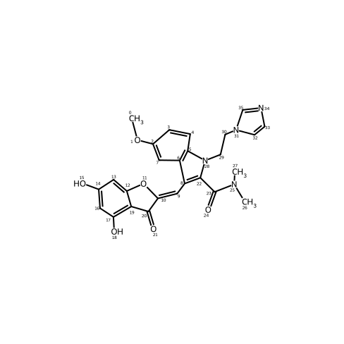 COc1ccc2c(c1)c(/C=C1\Oc3cc(O)cc(O)c3C1=O)c(C(=O)N(C)C)n2CCn1ccnc1